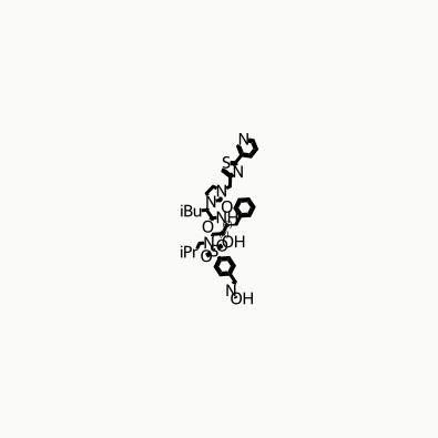 CCC(C)C(C(=O)N[C@@H](Cc1ccccc1)[C@H](O)CN(CC(C)C)S(=O)(=O)c1ccc(C=NO)cc1)N1CCN(Cc2csc(-c3cccnc3)n2)C1=O